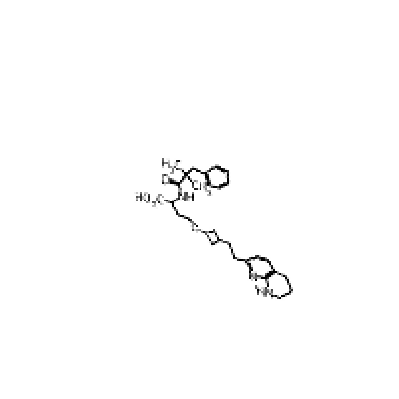 CC(C)(Cc1ccccc1)C(=O)NC(CCOC1CC(CCc2ccc3c(n2)NCCC3)C1)C(=O)O